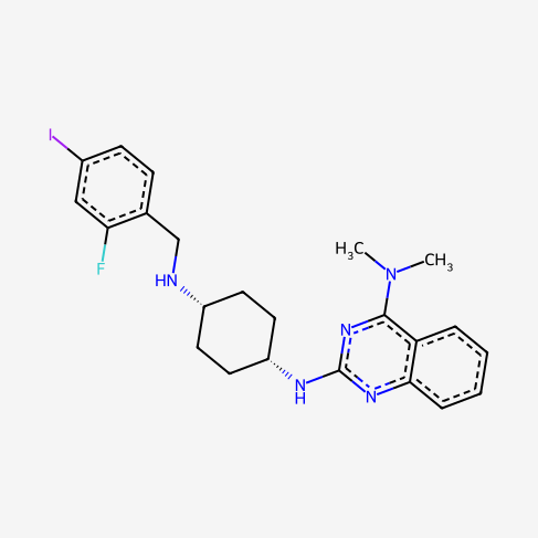 CN(C)c1nc(N[C@H]2CC[C@@H](NCc3ccc(I)cc3F)CC2)nc2ccccc12